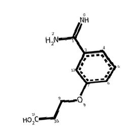 N=C(N)c1cccc(OCCC(=O)O)c1